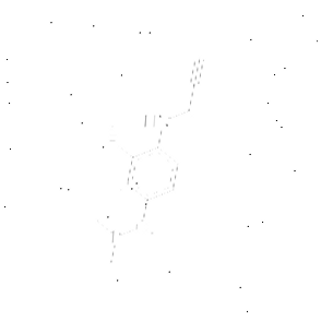 C#CCNc1ccc(OP(C)C)cc1F